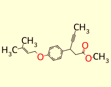 CC#CC(CC(=O)OC)c1ccc(OCC=C(C)C)cc1